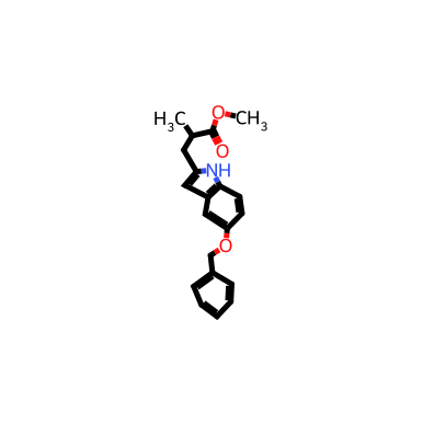 COC(=O)C(C)Cc1cc2cc(OCc3ccccc3)ccc2[nH]1